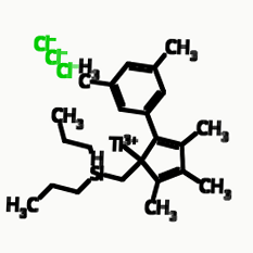 CCC[SiH](CCC)C[C]1([Ti+3])C(C)=C(C)C(C)=C1c1cc(C)cc(C)c1.[Cl-].[Cl-].[Cl-]